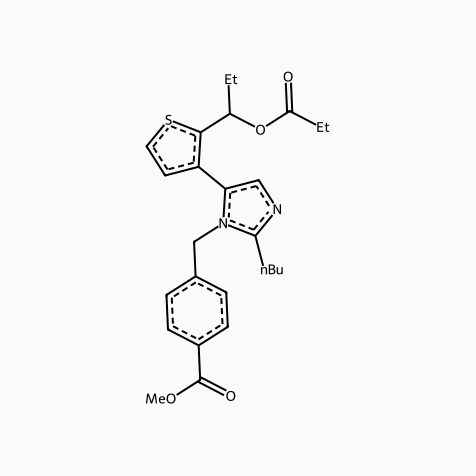 CCCCc1ncc(-c2ccsc2C(CC)OC(=O)CC)n1Cc1ccc(C(=O)OC)cc1